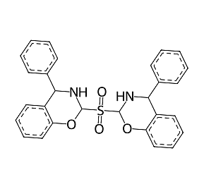 O=S(=O)(C1NC(c2ccccc2)c2ccccc2O1)C1NC(c2ccccc2)c2ccccc2O1